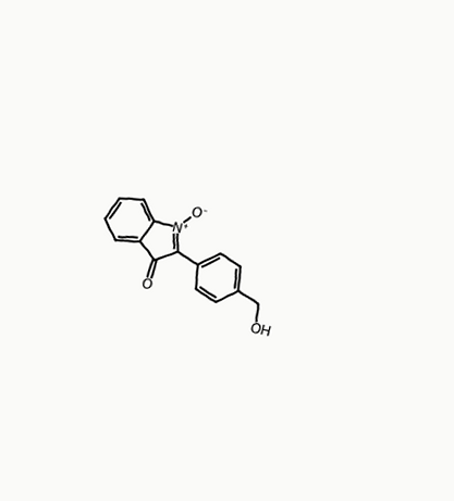 O=C1C(c2ccc(CO)cc2)=[N+]([O-])c2ccccc21